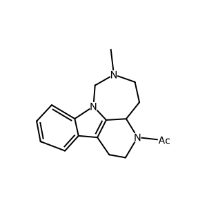 CC(=O)N1CCc2c3n(c4ccccc24)CN(C)CCC31